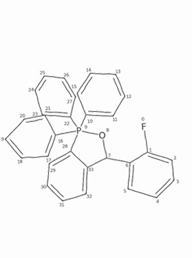 Fc1ccccc1C1OP(c2ccccc2)(c2ccccc2)(c2ccccc2)c2ccccc21